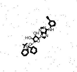 C#Cc1cccc(Nc2ncnc3c2ncn3[C@H]2O[C@H](CO[Si](c3ccccc3)(c3ccccc3)C(C)(C)C)[C@@H](O)[C@H]2O)c1